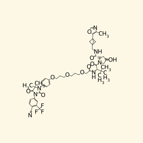 Cc1ncoc1C12CC(CNC(=O)[C@@H]3C[C@@H](O)CN3C(=O)C(NC(=O)COCCCOCCCOc3ccc(N4C(=O)N(c5ccc(C#N)c(C(F)(F)F)c5)C(=O)C4(C)C)cc3)C(C)(C)C)(C1)C2